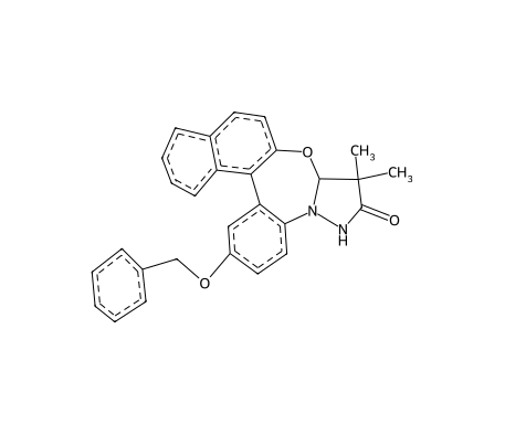 CC1(C)C(=O)NN2c3ccc(OCc4ccccc4)cc3-c3c(ccc4ccccc34)OC21